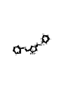 C(=Nc1ccccc1)C1=CC(=CNc2ccccc2)CC1.Cl